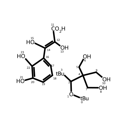 CC(C)(C)OC(C(C)(C)C)C(CO)(CO)CO.O=C(O)C(O)=C(O)c1cccc(O)c1O